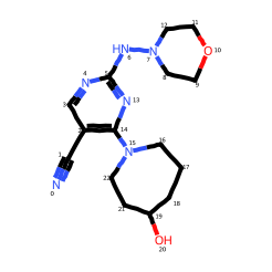 N#Cc1cnc(NN2CCOCC2)nc1N1CCCC(O)CC1